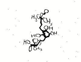 CC(C)(CCCc1c(O)c(O)cc(CCCC(C)(C)C(=O)O)c1O)OC=O